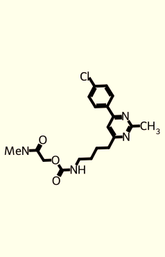 CNC(=O)COC(=O)NCCCCc1cc(-c2ccc(Cl)cc2)nc(C)n1